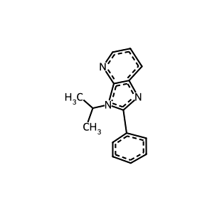 CC(C)n1c(-c2ccccc2)nc2cccnc21